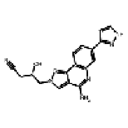 N#CC[C@@H](O)Cn1cc2c(N)nc3cc(-c4cc[nH]n4)ccc3c2n1